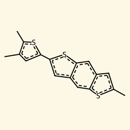 Cc1cc2cc3sc(-c4cc(C)c(C)s4)cc3cc2s1